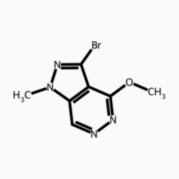 COc1nncc2c1c(Br)nn2C